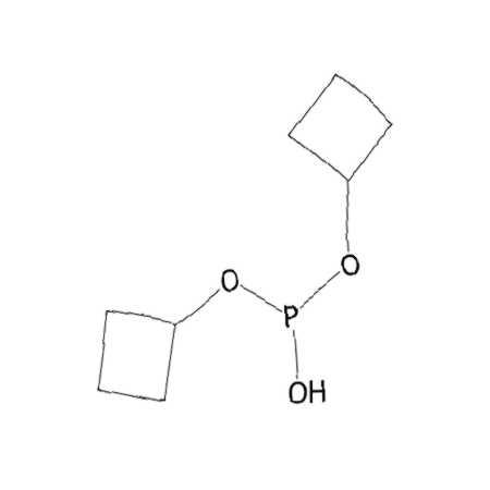 OP(OC1CCC1)OC1CCC1